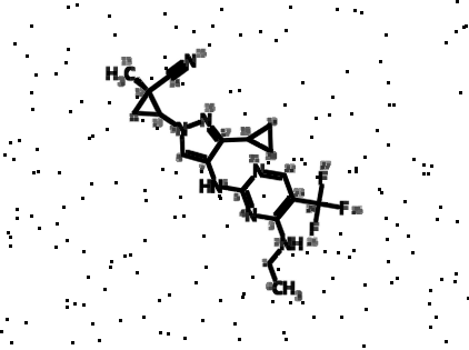 CCNc1nc(Nc2cn(C3C[C@]3(C)C#N)nc2C2CC2)ncc1C(F)(F)F